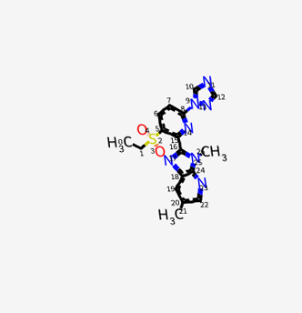 CCS(=O)(=O)c1ccc(-n2cncn2)nc1-c1nc2cc(C)cnc2n1C